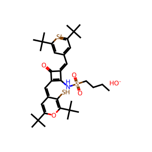 CCCCS(=O)(=O)NC1=C(C=C2C=C(C(C)(C)C)OC(C(C)(C)C)=C2S)C(=O)C1=Cc1cc(C(C)(C)C)[s+]c(C(C)(C)C)c1.[OH-]